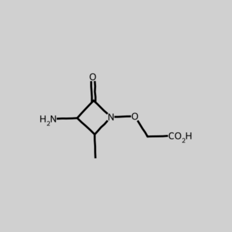 CC1C(N)C(=O)N1OCC(=O)O